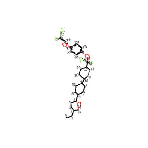 CCC1CCC(C2CCC(C3CCC(C(F)(F)Oc4ccc(OC=C(F)F)cc4)CC3)CC2)OC1